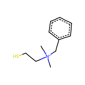 C[N+](C)(CCS)Cc1ccccc1